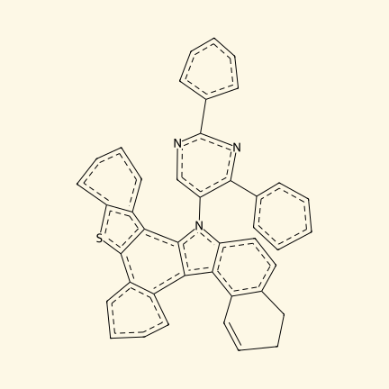 C1=Cc2c(ccc3c2c2c4ccccc4c4sc5ccccc5c4c2n3-c2cnc(-c3ccccc3)nc2-c2ccccc2)CC1